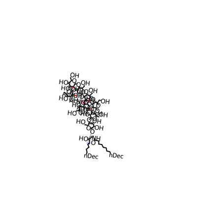 CCCCCCCCCCCCC/C=C/[C@@H](O)[C@H](CO[C@@H]1OC(CO)[C@@H](O[C@@H]2OC(CO)[C@H](O[C@@H]3OC(CO)[C@H](O)[C@H](O[C@@H]4OC(CO)[C@H](O)[C@H](O[C@@H]5OC(CO)[C@@H](O[C@@H]6OC(CO)[C@H](O)[C@H](O)C6O)[C@H](O[C@H]6OC(C)[C@@H](O)C(O)[C@@H]6O)C5NC(C)=O)C4O)C3NC(C)=O)[C@H](O[C@]3(C(=O)O)CC(O)[C@@H](NC(C)=O)C([C@H](O)[C@H](O)CO)O3)C2O)[C@H](O)C1O)NC(=O)CCCCCCCCCCCCCCCCC